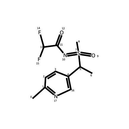 Cc1ccc(C(C)S(C)(=O)=NC(=O)C(F)F)cn1